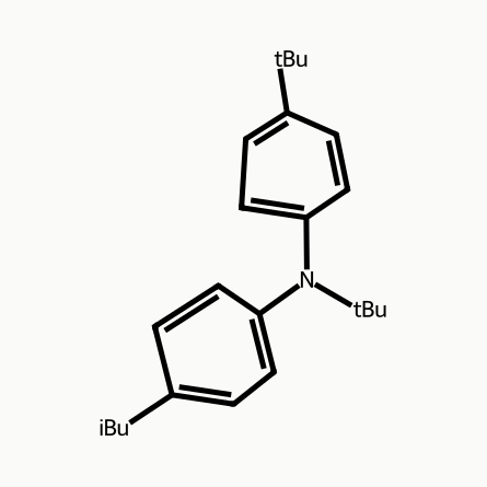 CCC(C)c1ccc(N(c2ccc(C(C)(C)C)cc2)C(C)(C)C)cc1